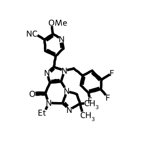 CCN1C(=O)c2nc(-c3cnc(OC)c(C#N)c3)n(Cc3cc(F)c(F)c(F)c3)c2N2CC(C)(C)N=C12